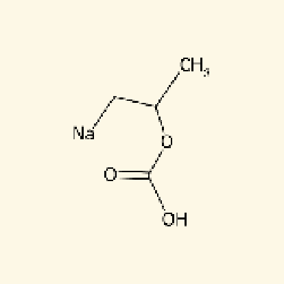 CC([CH2][Na])OC(=O)O